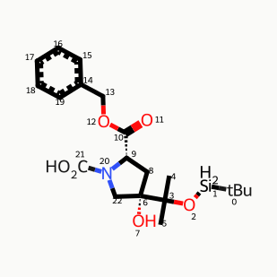 CC(C)(C)[SiH2]OC(C)(C)[C@]1(O)C[C@@H](C(=O)OCc2ccccc2)N(C(=O)O)C1